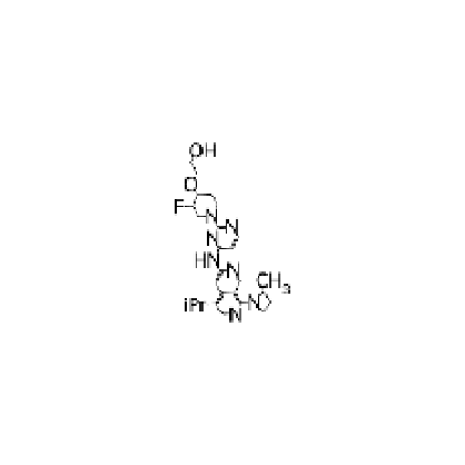 CC(C)c1cnc(N2CC[C@H]2C)c2cnc(Nc3ccnc(N4CC[C@H](OCCO)[C@H](F)C4)n3)cc12